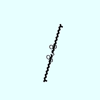 CC(C)CCCCCCCCCCCOC(=O)CCSCCC(=O)OCCCCCCCCCCCC(C)C